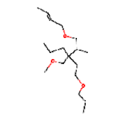 CC=CCOCC(C)C(CCC)(CCOCCC)COC